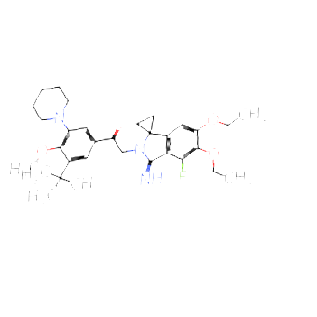 CCOc1cc2c(c(F)c1OCC)C(=N)N(CC(=O)c1cc(N3CCCCC3)c(OC)c(C(C)(C)C)c1)C21CC1